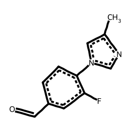 Cc1cn(-c2ccc(C=O)cc2F)cn1